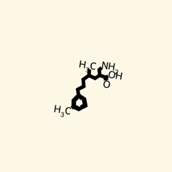 CCC(CCCc1cccc(C)c1)CC(CN)C(=O)O